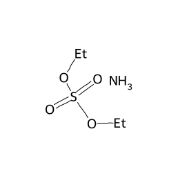 CCOS(=O)(=O)OCC.N